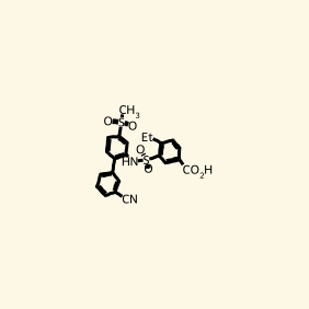 CCc1ccc(C(=O)O)cc1S(=O)(=O)Nc1cc(S(C)(=O)=O)ccc1-c1cccc(C#N)c1